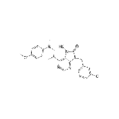 COc1ccc(N(C)CC(C)c2ncnc3c2n(S)c(=O)n3Cc2cccc(Cl)c2)cc1